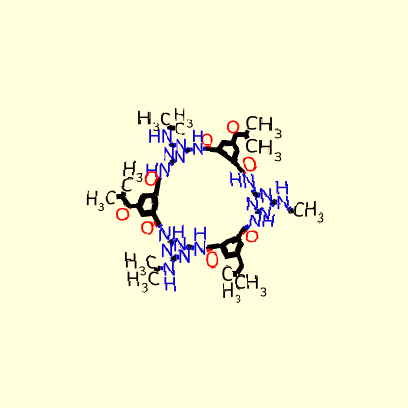 CCNc1nc2nc(n1)[nH]c(=O)c1cc(C(=O)C(C)C)cc(c1)c(=O)[nH]c1nc(NC(C)C)nc(n1)[nH]c(=O)c1cc(C(=O)C(C)C)cc(c1)c(=O)[nH]c1nc(NC(C)C)nc(n1)[nH]c(=O)c1cc(CC(C)C)cc(c1)c(=O)[nH]2